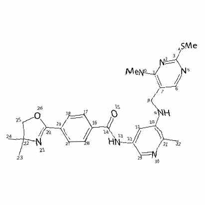 CNc1nc(SC)ncc1CNc1cc(NC(=O)c2ccc(C3=NC(C)(C)CO3)cc2)cnc1C